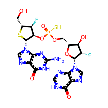 Nc1nc2c(ncn2[C@@H]2S[C@H](CO)[C@@H](F)[C@H]2O[P@](=O)(S)OC[C@H]2O[C@@H](n3cnc4c(=O)[nH]cnc43)[C@@H](F)[C@@H]2O)c(=O)[nH]1